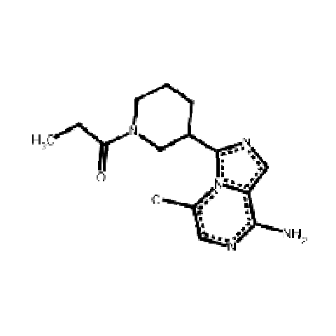 CCC(=O)N1CCCC(c2ncc3c(N)ncc(Cl)n23)C1